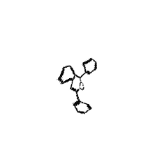 C1=C(c2ccccc2)O[C](c2ccccc2)c2ccccc21